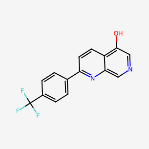 Oc1cncc2nc(-c3ccc(C(F)(F)F)cc3)ccc12